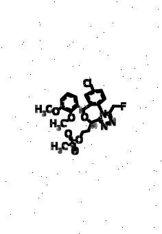 COc1cccc([C@H]2O[C@H](CCOS(C)(=O)=O)c3nnc(CF)n3-c3ccc(Cl)cc32)c1OC